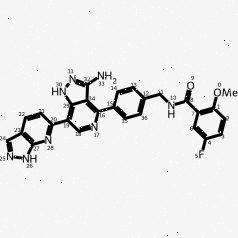 COc1ccc(F)cc1C(=O)NCc1ccc(-c2ncc(-c3ccc4cn[nH]c4n3)c3[nH]nc(N)c23)cc1